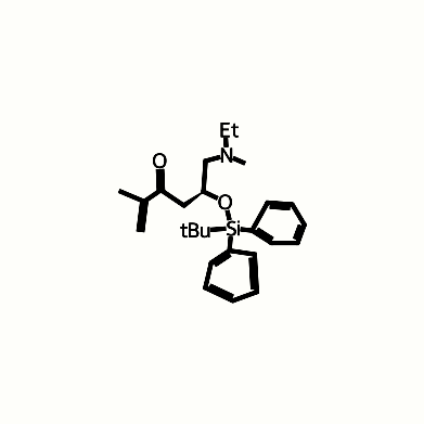 C=C(C)C(=O)C[C@@H](CN(C)CC)O[Si](c1ccccc1)(c1ccccc1)C(C)(C)C